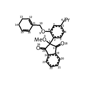 COC1(c2ccc(C(C)C)cc2OCC2=CCCC=C2)C(=O)c2ccccc2C1=O